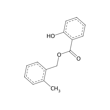 Cc1ccccc1COC(=O)c1ccccc1O